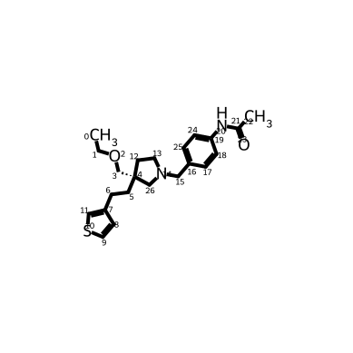 CCOC[C@]1(CCc2ccsc2)CCN(Cc2ccc(NC(C)=O)cc2)C1